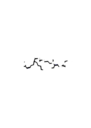 CCCCC[C@@](C)(CC/C=C\C(C)OC)[C@@H](C)NC(=O)NCCCN(CC)/C(=C/C[C@@H]1CN1CC)CF